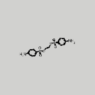 Nc1ccc(S(=O)(=O)OCCOS(=O)(=O)c2ccc(N)cc2)cc1